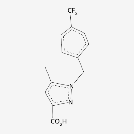 Cc1cc(C(=O)O)nn1Cc1ccc(C(F)(F)F)cc1